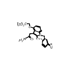 CCOC(=O)COc1cccc2c1c(CC(N)=O)c(C)n2Cc1cccc(Cl)c1